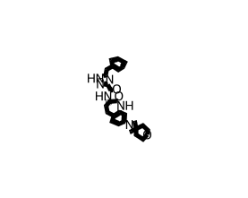 O=C(N[C@H]1CCc2ccc(N3CC4(CCOCC4)C3)cc2NC1=O)c1n[nH]c(Cc2ccccc2)n1